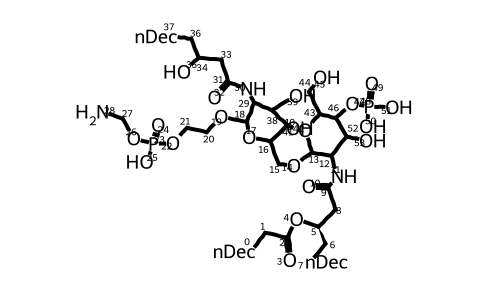 CCCCCCCCCCCC(=O)O[C@H](CCCCCCCCCCC)CC(=O)NC1C(OCC2OC(OCCOP(=O)(O)OCN)C(NC(=O)CC(O)CCCCCCCCCCC)C(O)C2O)OC(CO)C(OP(=O)(O)O)C1O